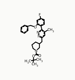 Cc1cc(CC2CCCN(C(=O)OC(C)(C)C)C2)nnc1-c1ccc(F)cc1OCc1ccccc1